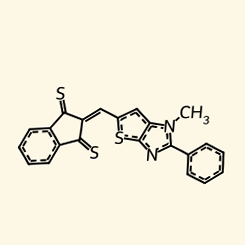 Cn1c(-c2ccccc2)nc2sc(C=C3C(=S)c4ccccc4C3=S)cc21